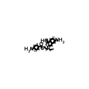 CCN(CCOC(=O)c1ccc(N)cc1)CCc1cc(N)ccc1C(=O)O